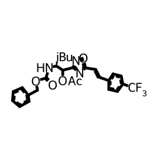 CCC(C)[C@H](NC(=O)OCc1ccccc1)C(OC(C)=O)c1noc(/C=C/c2ccc(C(F)(F)F)cc2)n1